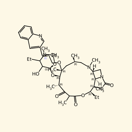 CCO[C@@H](O[C@@H]1[C@@H](C)C(=O)C(C)C(=O)O[C@H](CC)[C@@]2(C)OC(=O)N3C[C@H]([C@@H]32)N(C)C[C@H](C)C[C@@]1(C)OC/C=C/c1cnc2ccccc2c1)C(O)C(CC)N(C)C